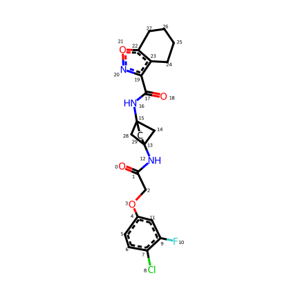 O=C(COc1ccc(Cl)c(F)c1)NC12CC(NC(=O)c3noc4c3CCCC4)(C1)C2